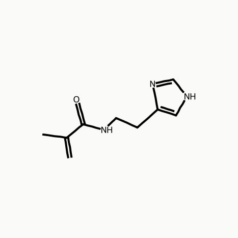 C=C(C)C(=O)NCCc1c[nH]cn1